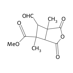 COC(=O)C1(C)C(C=O)C2(C)C(=O)OC(=O)C12